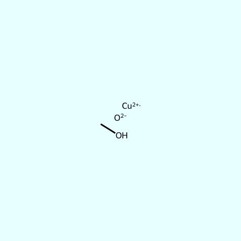 CO.[Cu+2].[O-2]